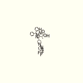 C[C@H]1c2c(C3CCN(c4ccc(C(F)(F)F)nn4)CC3)nn(C(c3ccccc3)c3ccccc3)c2NC(=O)[C@@H]1O